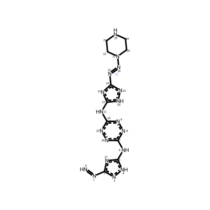 N=Nc1n[nH]c(Nc2nnc(Nc3nc(/N=N/N4CCNCC4)n[nH]3)nn2)n1